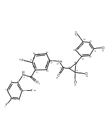 O=C(Nc1ccc(F)cc1F)c1cc(NC(=O)C2C(c3cc(Cl)cc(Cl)c3)C2(Cl)Cl)ccc1F